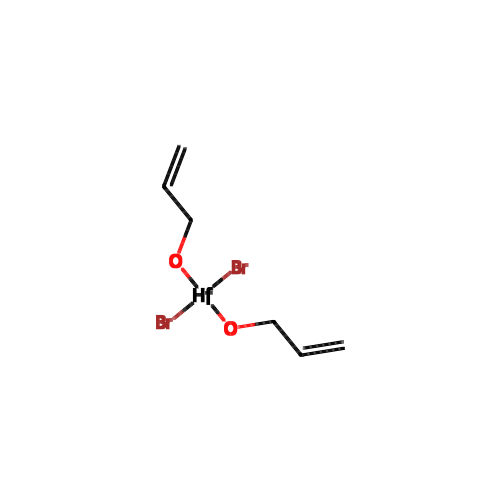 C=CC[O][Hf]([Br])([Br])[O]CC=C